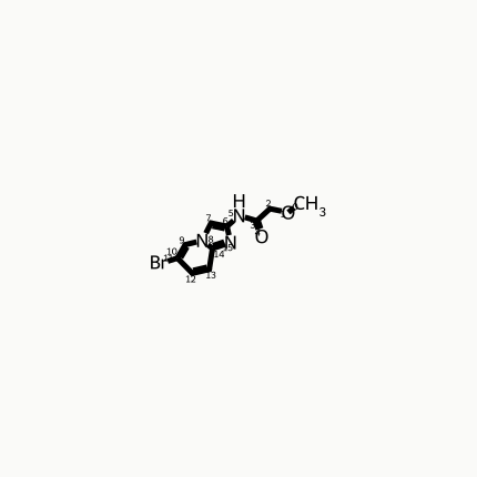 COCC(=O)Nc1cn2cc(Br)ccc2n1